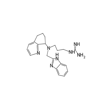 N=C(N)NCCCN(Cc1nc2ccccc2[nH]1)C1CCCc2cccnc21